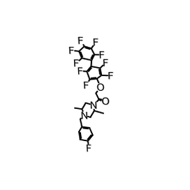 CC1CN(C(=O)COc2c(F)c(F)c(-c3c(F)c(F)c(F)c(F)c3F)c(F)c2F)C(C)CN1Cc1ccc(F)cc1